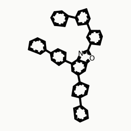 c1ccc(-c2ccc(-c3cc(-c4ccc(-c5ccccc5)cc4)c4nc(-c5cccc(-c6cccc(-c7ccccc7)c6)c5)oc4c3)cc2)cc1